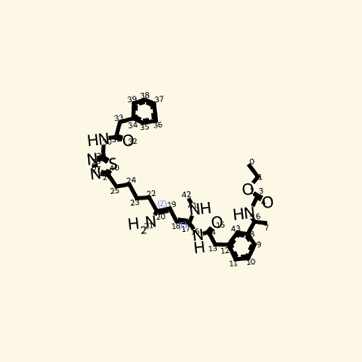 CCOC(=O)NC(C)c1cccc(CC(=O)N/C(=C/C=C(\N)CCCCc2nnc(NC(=O)Cc3ccccc3)s2)NC)c1